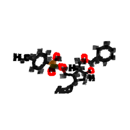 CC(=O)O[C@@H]1C[C@@H]2OC(c3ccccc3)OC[C@H]2C1COS(=O)(=O)c1ccc(C)cc1